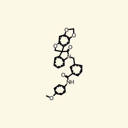 COc1ccc(NC(=O)c2cccc(CN3C(=O)C4(COc5cc6c(cc54)OCO6)c4ccccc43)c2)cc1